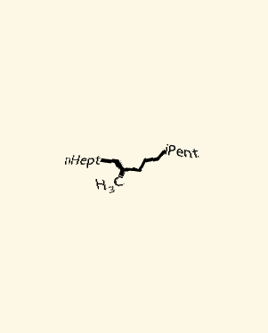 [CH2]CCC(C)CCCC(C)CCCCCCCC